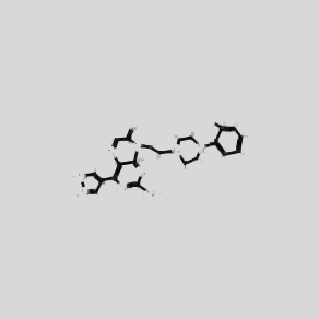 Nc1nc(-c2cn[nH]c2)c2ncc(=O)n(CCN3CCN(c4ccccc4F)CC3)c2n1